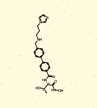 C[C@@H](O)[C@H](NC(=O)c1ccc(-c2ccc(CNCCCn3ccnc3)cc2)cc1)C(=O)NO